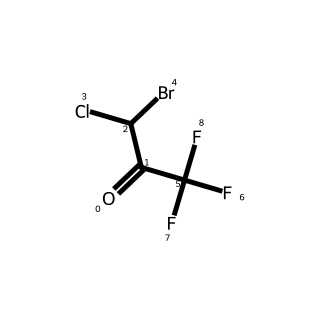 O=C(C(Cl)Br)C(F)(F)F